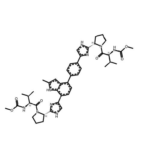 COC(=O)N[C@H](C(=O)N1CCC[C@H]1c1nc(-c2ccc(-c3ccc(-c4c[nH]c([C@@H]5CCCN5C(=O)[C@@H](NC(=O)OC)C(C)C)n4)c4[nH]c(C)cc34)cc2)c[nH]1)C(C)C